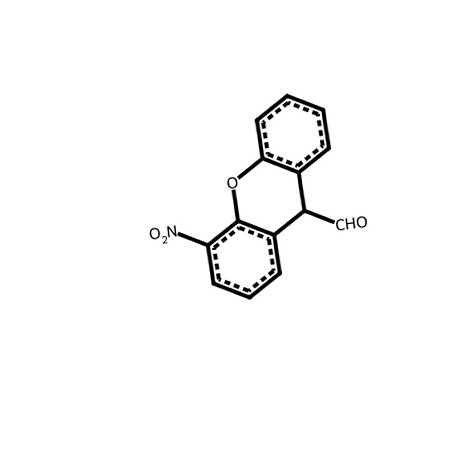 O=CC1c2ccccc2Oc2c1cccc2[N+](=O)[O-]